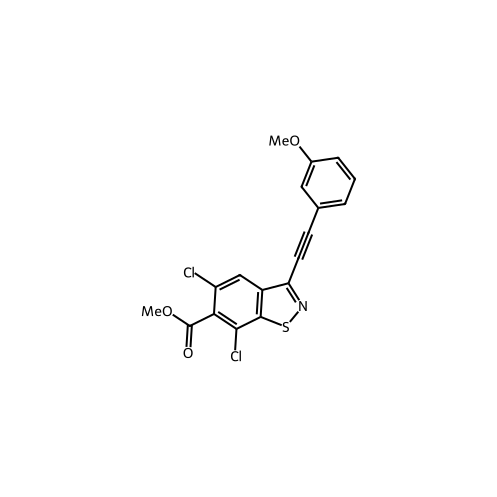 COC(=O)c1c(Cl)cc2c(C#Cc3cccc(OC)c3)nsc2c1Cl